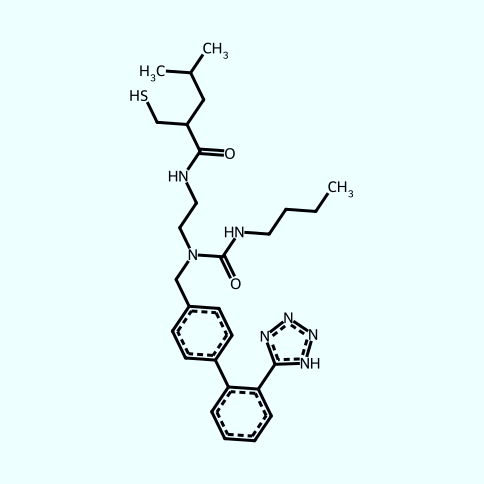 CCCCNC(=O)N(CCNC(=O)C(CS)CC(C)C)Cc1ccc(-c2ccccc2-c2nnn[nH]2)cc1